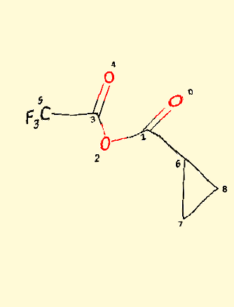 O=C(OC(=O)C(F)(F)F)C1CC1